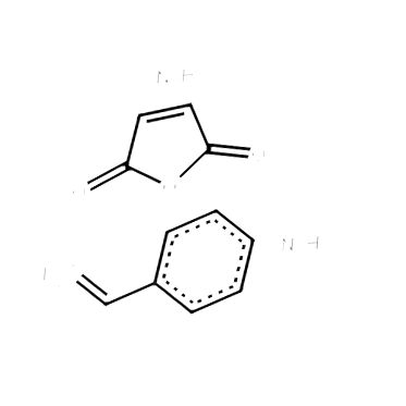 C=Cc1ccccc1.O=C1C=CC(=O)O1.[NaH].[NaH]